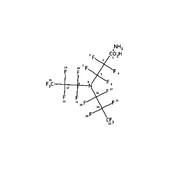 N.O=C(O)C(F)(F)C(F)(F)N(C(F)(F)C(F)(F)C(F)(F)F)C(F)(F)C(F)(F)C(F)(F)F